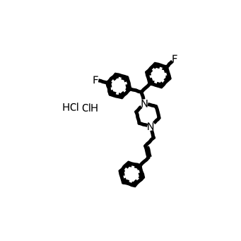 Cl.Cl.Fc1ccc(C(c2ccc(F)cc2)N2CCN(C/C=C/c3ccccc3)CC2)cc1